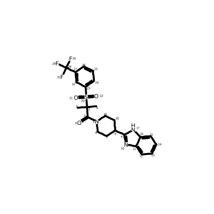 CC(C)(C(=O)N1CCC(c2nc3ccccc3[nH]2)CC1)S(=O)(=O)c1cccc(C(F)(F)F)c1